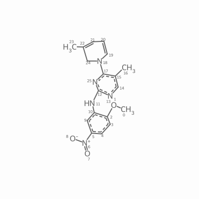 COc1ccc([N+](=O)[O-])cc1Nc1ncc(C)c(N2C=CC=C(C)C2)n1